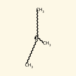 CCCCCCCCCCCCCCCCCn1cc[n+](CCCCCCCCCCCCCCCCC)c1CCCCC